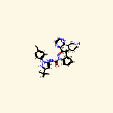 Cc1ccc(-n2nc(C(C)(C)C)cc2NC(=O)Nc2ccccc2C(C(=O)c2cnccn2)C2CCNCC2)cc1